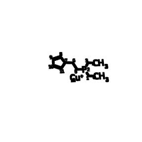 CCP(CC)CCC1C=CC=C1.[Cu+]